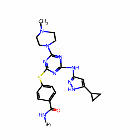 CC(C)NC(=O)c1ccc(Sc2nc(Nc3cc(C4CC4)[nH]n3)nc(N3CCN(C)CC3)n2)cc1